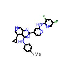 CNc1ccc(Nc2nc(-c3ccnc(Nc4ncc(F)cc4F)c3)nc3cncc(C4CC4)c23)cc1